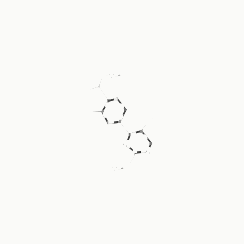 COC(O)c1ccc(-c2nc(SC)ncc2C=O)cc1F